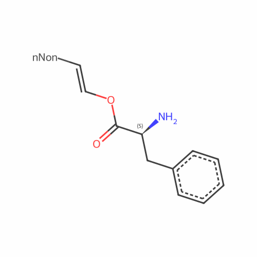 CCCCCCCCCC=COC(=O)[C@@H](N)Cc1ccccc1